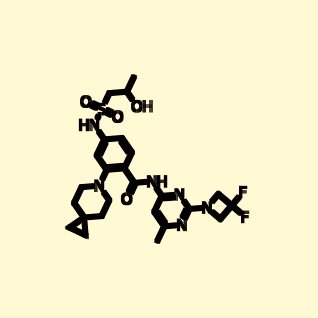 Cc1cc(NC(=O)c2ccc(NS(=O)(=O)CC(C)O)cc2N2CCC3(CC2)CC3)nc(N2CC(F)(F)C2)n1